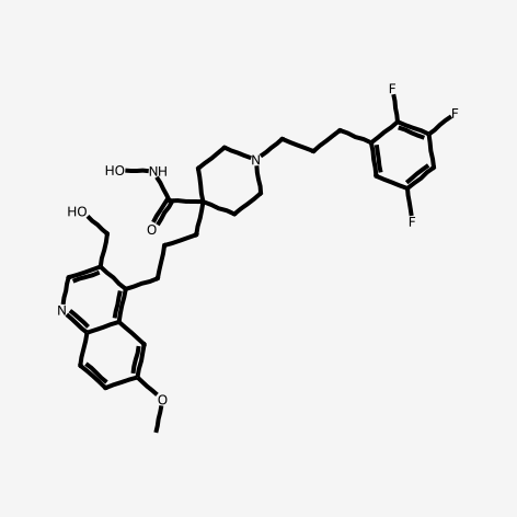 COc1ccc2ncc(CO)c(CCCC3(C(=O)NO)CCN(CCCc4cc(F)cc(F)c4F)CC3)c2c1